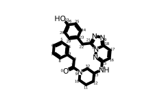 O=C(Cc1ccccc1)N1CCCC(Nc2ccc3nnc(Cc4ccc(O)cc4)n3n2)C1